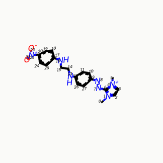 Cn1cc[n+](C)c1/N=N/c1ccc(NCCNc2ccc([N+](=O)[O-])cc2)cc1